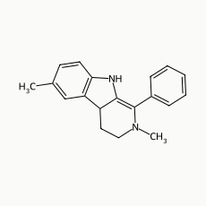 Cc1ccc2c(c1)C1CCN(C)C(c3ccccc3)=C1N2